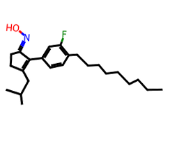 CCCCCCCCCc1ccc(C2=C(CC(C)C)CC/C2=N\O)cc1F